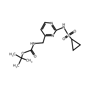 CC(C)(C)OC(=O)NCc1ccnc(NS(=O)(=O)C2CC2)n1